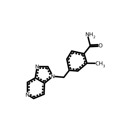 Cc1cc(Cn2cnc3cnccc32)ccc1C(N)=O